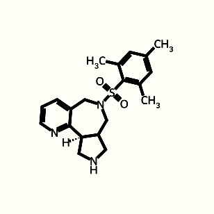 Cc1cc(C)c(S(=O)(=O)N2Cc3cccnc3[C@@H]3CNCC3C2)c(C)c1